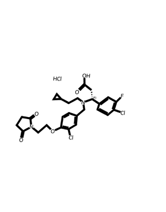 Cl.O=C(O)C[C@H](c1ccc(Cl)c(F)c1)N(CCC1CC1)Cc1ccc(OCCN2C(=O)CCC2=O)c(Cl)c1